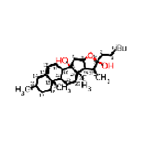 CCC(C)CCC1(O)OC2CC3(O)C4CC=C5CC(C)CCC5(C)C4CCC3(C)C2C1C